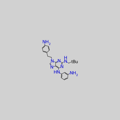 CC(C)(C)CNc1nc(Nc2cccc(N)c2)c2ncn(CCc3ccc(N)cc3)c2n1